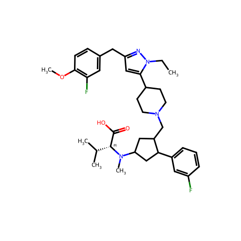 CCn1nc(Cc2ccc(OC)c(F)c2)cc1C1CCN(CC2CC(N(C)[C@@H](C(=O)O)C(C)C)CC2c2cccc(F)c2)CC1